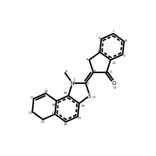 CN1/C(=C2\Cc3ccccc3C2=O)Sc2ccc3c(c21)C=CCC3